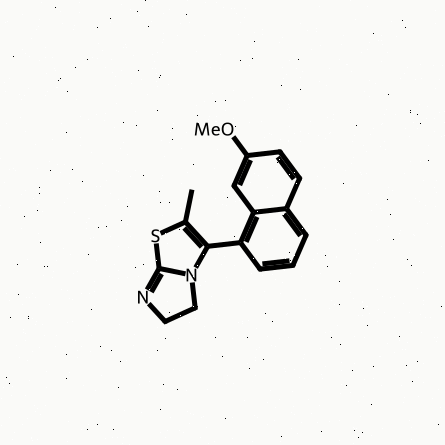 COc1ccc2cccc(C3=C(C)SC4=NCCN43)c2c1